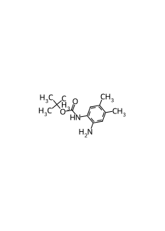 Cc1cc(N)c(NC(=O)OC(C)(C)C)cc1C